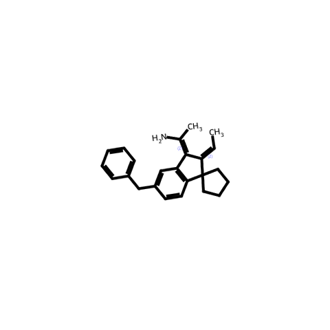 C/C=C1\C(=C(/C)N)c2cc(Cc3ccccc3)ccc2C12CCCC2